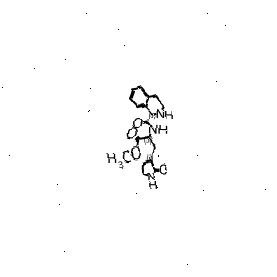 COC(=O)[C@H](C[C@@H]1CCNC1=O)NC(=O)[C@H]1NCCc2ccccc21